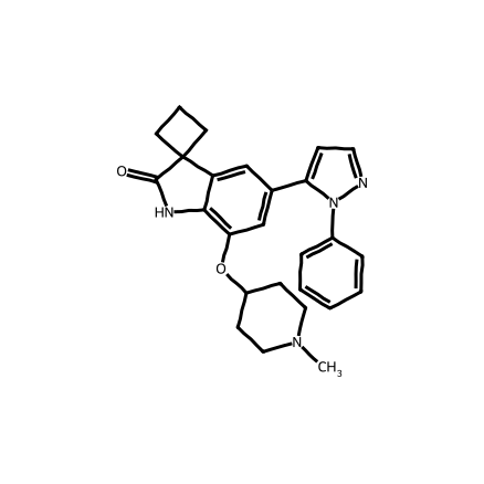 CN1CCC(Oc2cc(-c3ccnn3-c3ccccc3)cc3c2NC(=O)C32CCC2)CC1